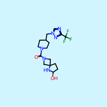 O=C(N1CCC(Cn2cnc(C(F)(F)F)n2)CC1)N1CC2(CCC(O)N2)C1